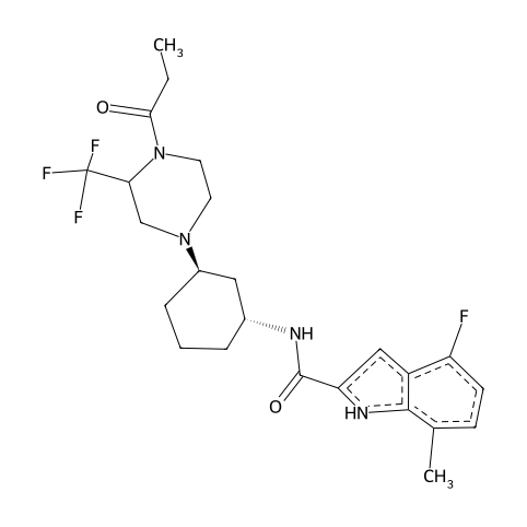 CCC(=O)N1CCN([C@@H]2CCC[C@@H](NC(=O)c3cc4c(F)ccc(C)c4[nH]3)C2)CC1C(F)(F)F